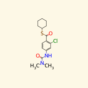 CN(C)C(=O)Nc1ccc(C(=O)SC2CCCCC2)c(Cl)c1